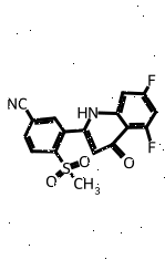 CS(=O)(=O)c1ccc(C#N)cc1-c1cc(=O)c2c(F)cc(F)cc2[nH]1